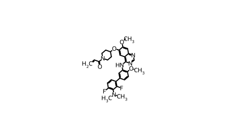 C=CC(=O)N1CCC(Oc2cc3c(Nc4cc(-c5ccc(F)c(N(C)C)c5F)ccc4OC)ncnc3cc2OC)CC1